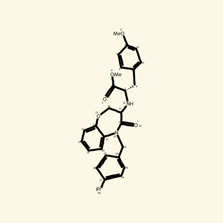 COC(=O)[C@H](Cc1ccc(OC)cc1)NC1COc2ccccc2N(Cc2ccc(C(C)C)cc2)C1=O